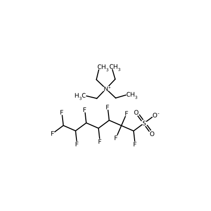 CC[N+](CC)(CC)CC.O=S(=O)([O-])C(F)C(F)(F)C(F)C(F)C(F)C(F)C(F)F